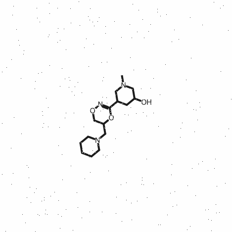 CN1CC(O)CC(C2=NOCC(CN3CCCCC3)O2)C1